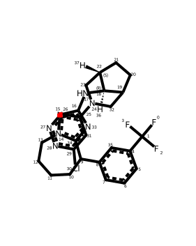 FC(F)(F)c1cccc(C2CCCCn3nc(N[C@@H]4C5CC[C@H]4CN(c4cnnc(Cl)c4)C5)nc32)c1